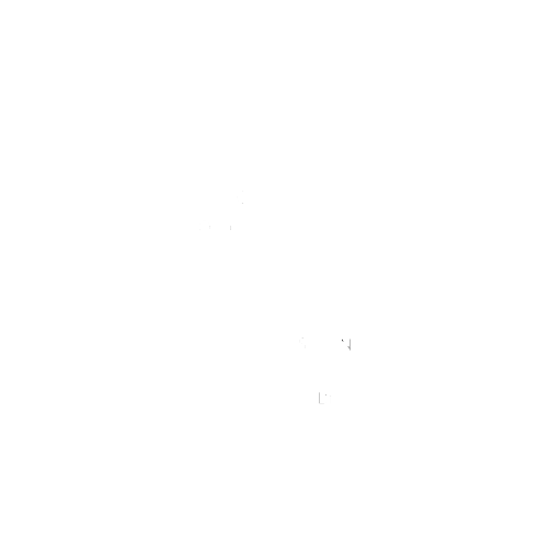 CCOC(=O)c1ccc(-c2cnc(Br)s2)cc1